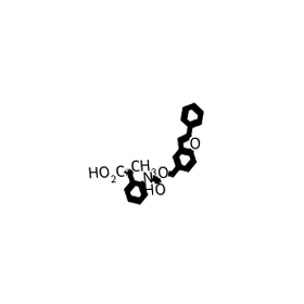 C[C@@H](C(=O)O)c1ccccc1NC(=O)OCc1ccc2oc(-c3ccccc3)cc2c1